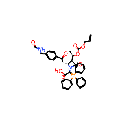 C=CCOC(=O)O[C@H](C)[C@H]1C(=O)N(C(C(=O)O)=P(c2ccccc2)(c2ccccc2)c2ccccc2)[C@@H]1CC(=O)c1ccc(CNC=O)cc1